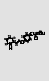 CCCCC(=O)Oc1ccc(OCCC2CCCCN2)cc1